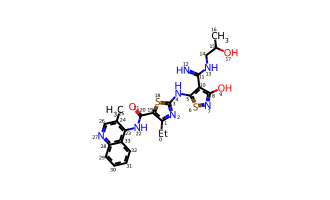 CCc1nc(Nc2snc(O)c2C(=N)NCC(C)O)sc1C(=O)Nc1c(C)cnc2ccccc12